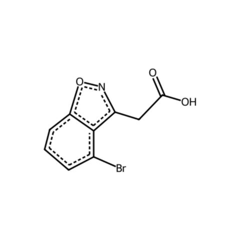 O=C(O)Cc1noc2cccc(Br)c12